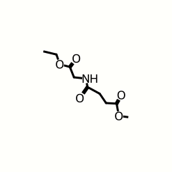 CCOC(=O)CNC(=O)CCC(=O)OC